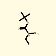 CC[SH](N)C(=O)OC(C)(C)C